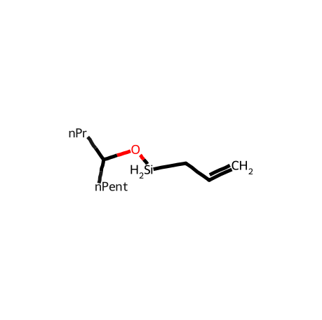 C=CC[SiH2]OC(CCC)CCCCC